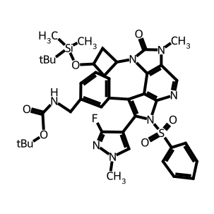 Cn1cc(-c2c(-c3cccc(CNC(=O)OC(C)(C)C)c3)c3c(ncc4c3n(C3CC(O[Si](C)(C)C(C)(C)C)C3)c(=O)n4C)n2S(=O)(=O)c2ccccc2)c(F)n1